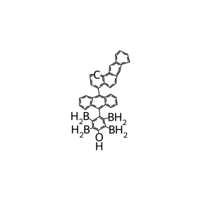 Bc1c(B)c(-c2c3ccccc3c(-c3cccc4c3ccc3cc5ccccc5cc34)c3ccccc23)c(B)c(B)c1O